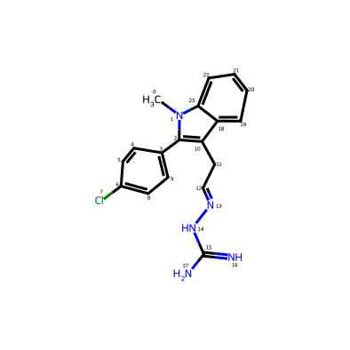 Cn1c(-c2ccc(Cl)cc2)c(CC=NNC(=N)N)c2ccccc21